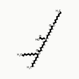 CCCCCCCCCOC(=O)CCCCCCCN(CCCCCCCC(=O)OC(CCCCCCCC)CCCCCCCCC)CCC(=O)O